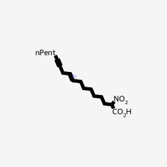 CCCCCC#CC/C=C/CCCCCCC(C(=O)O)[N+](=O)[O-]